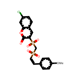 COc1ccc(/C=C\S(=O)(=O)CS(=O)(=O)c2cc3ccc(Cl)cc3oc2=O)cc1